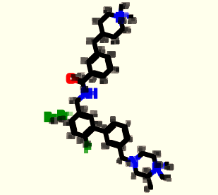 C[C@H]1CN(Cc2cccc(-c3cc(CNC(=O)c4cccc(CC5CC[N+](C)(C)CC5)c4)ccc3F)c2)CC[N+]1(C)C.[Br-].[Br-]